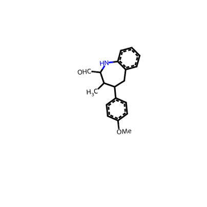 COc1ccc(C2Cc3ccccc3NC(C=O)C2C)cc1